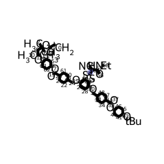 C=CC(=O)OC(C)(C)CC(C)(C)OC1CCC(OC(=O)C2CCC(COc3ccc(OCC4CCC(C(=O)OC5CCC(OC(C)(C)C)CC5)CC4)c4c3S/C(=C(\C#N)C(=O)NCC)S4)CC2)CC1